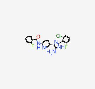 Nc1[nH]c(-c2c(F)cccc2Cl)nc1-c1ccc(NC(=O)c2ccccc2F)nc1